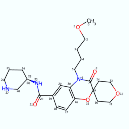 COCCCCN1C(=O)C2(CCOCC2)Oc2ccc(C(=O)N[C@@H]3CCCNC3)cc21